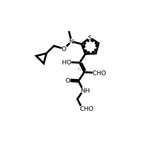 CN(OCC1CC1)c1sccc1/C(O)=C(\C=O)C(=O)NCC=O